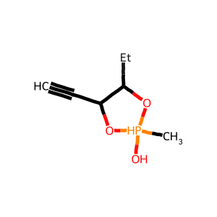 C#CC1O[PH](C)(O)OC1CC